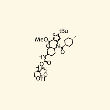 COC(=O)c1sc(C(C)(C)C)cc1N(C(=O)[C@H]1CC[C@H](C)CC1)C1CCC(NC(=O)O[C@H]2CO[C@H]3OCC[C@H]32)CC1